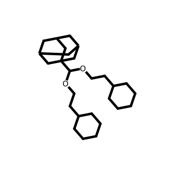 C1CCC(CCOC(OCCC2CCCCC2)C23CC4CC(CC(C4)C2)C3)CC1